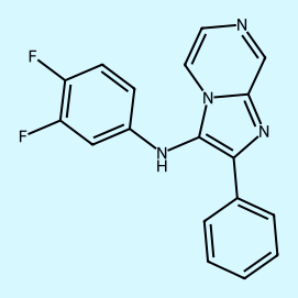 Fc1ccc(Nc2c(-c3ccccc3)nc3cnccn23)cc1F